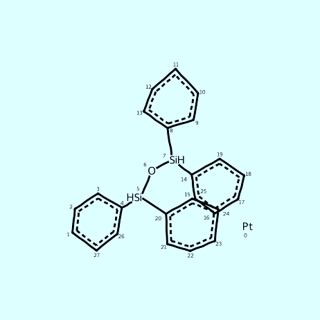 [Pt].c1ccc([SiH](O[SiH](c2ccccc2)c2ccccc2)c2ccccc2)cc1